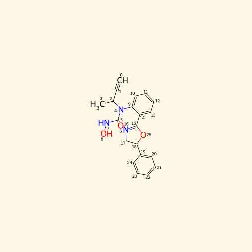 C#CC(C)N(C(=O)NO)c1ccccc1C1=NCC(c2ccccc2)O1